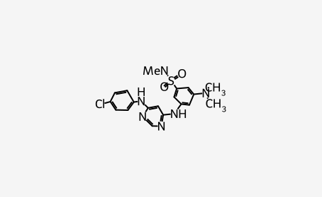 CNS(=O)(=O)c1cc(Nc2cc(Nc3ccc(Cl)cc3)ncn2)cc(N(C)C)c1